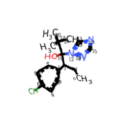 CCC(c1ccc(Cl)cc1)C(O)(n1cncn1)C(C)(C)C